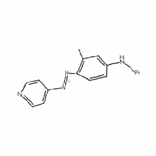 Cc1cc(NC(C)C)ccc1/N=N/c1ccncc1